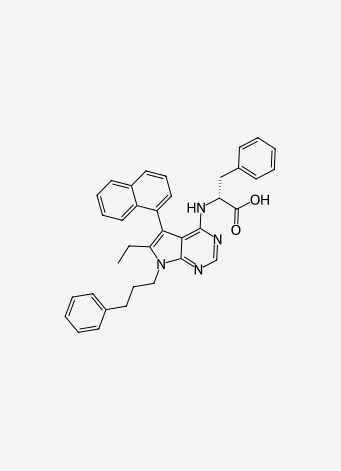 CCc1c(-c2cccc3ccccc23)c2c(N[C@H](Cc3ccccc3)C(=O)O)ncnc2n1CCCc1ccccc1